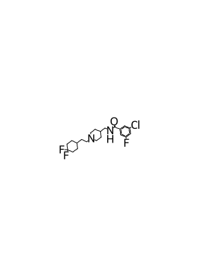 O=C(NCC1CCN(CCC2CCC(F)(F)CC2)CC1)c1cc(F)cc(Cl)c1